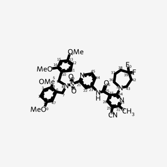 COc1ccc(OC)c(CN(Cc2ccc(OC)cc2OC)S(=O)(=O)c2cc(NC(=O)c3cc(C#N)c(C)nc3N3CCCC(F)(F)CC3)ccn2)c1